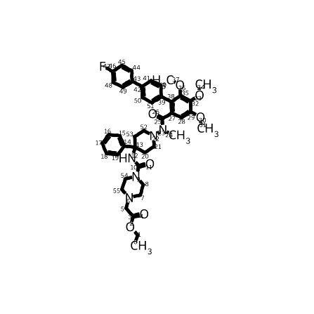 CCOC(=O)CN1CCN(C(=O)NC2(c3ccccc3)CCN(N(C)C(=O)c3cc(OC)c(OC)c(OC)c3-c3ccc(-c4ccc(F)cc4)cc3)CC2)CC1